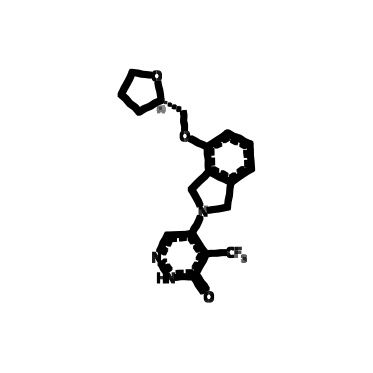 O=c1[nH]ncc(N2Cc3cccc(OC[C@@H]4CCCO4)c3C2)c1C(F)(F)F